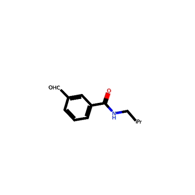 CC(C)CNC(=O)c1cccc(C=O)c1